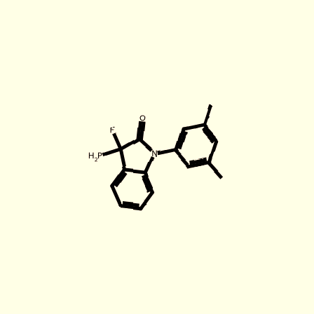 Cc1cc(C)cc(N2C(=O)C(F)(P)c3ccccc32)c1